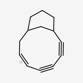 C1#C/C=C\CC2CCCC(C#C1)C2